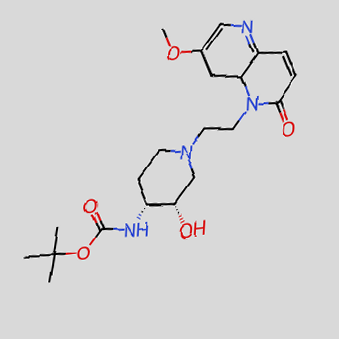 COC1=CN=C2C=CC(=O)N(CCN3CC[C@@H](NC(=O)OC(C)(C)C)[C@@H](O)C3)C2C1